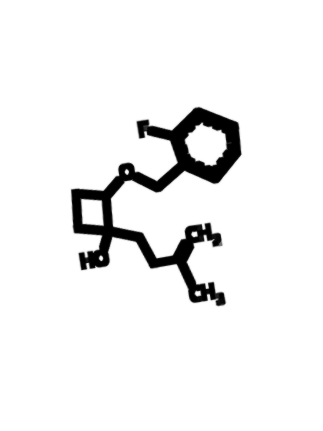 C=C(C)CCC1(O)CCC1OCc1ccccc1F